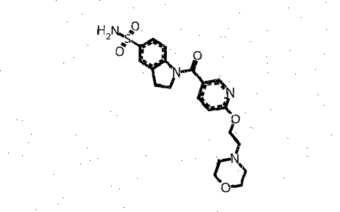 NS(=O)(=O)c1ccc2c(c1)CCN2C(=O)c1ccc(OCCN2CCOCC2)nc1